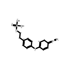 [N-]=[N+]=C1C=CC(Sc2ccc(CCOP(=O)(O)O)cc2)=CC1